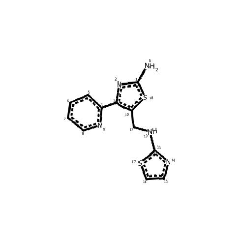 Nc1nc(-c2ccccn2)c(CNc2nccs2)s1